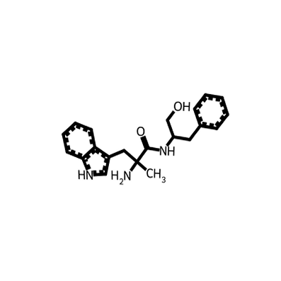 CC(N)(Cc1c[nH]c2ccccc12)C(=O)NC(CO)Cc1ccccc1